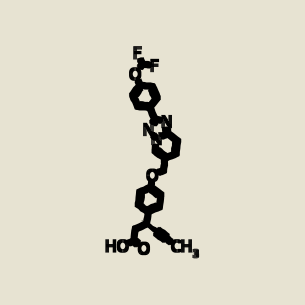 CC#C[C@@H](CC(=O)O)c1ccc(OCc2ccc3nc(-c4ccc(OC(F)F)cc4)nn3c2)cc1